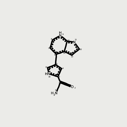 NC(=O)c1cc(-c2cc[nH]c3nccc2-3)c[nH]1